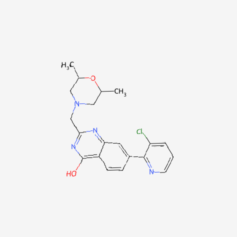 CC1CN(Cc2nc(O)c3ccc(-c4ncccc4Cl)cc3n2)CC(C)O1